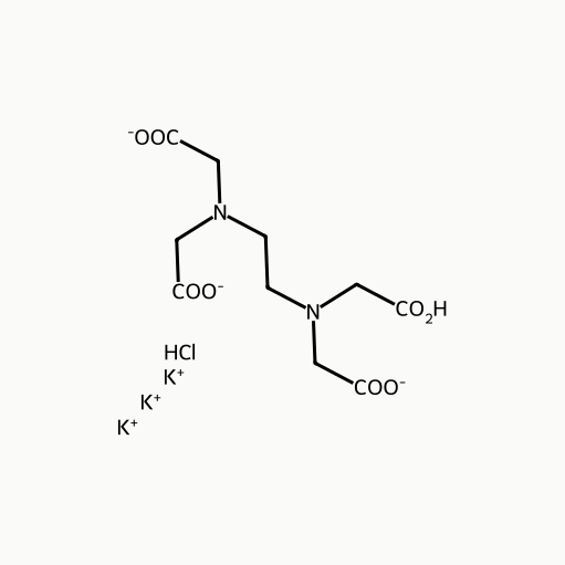 Cl.O=C([O-])CN(CCN(CC(=O)[O-])CC(=O)O)CC(=O)[O-].[K+].[K+].[K+]